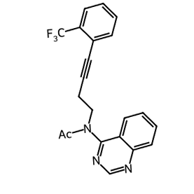 CC(=O)N(CCC#Cc1ccccc1C(F)(F)F)c1ncnc2ccccc12